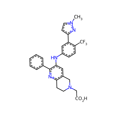 Cn1ccc(-c2cc(Nc3cc4c(nc3-c3ccccc3)CCN(CC(=O)O)C4)ccc2C(F)(F)F)n1